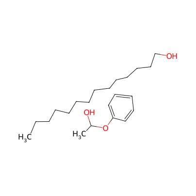 CC(O)Oc1ccccc1.CCCCCCCCCCCCCCO